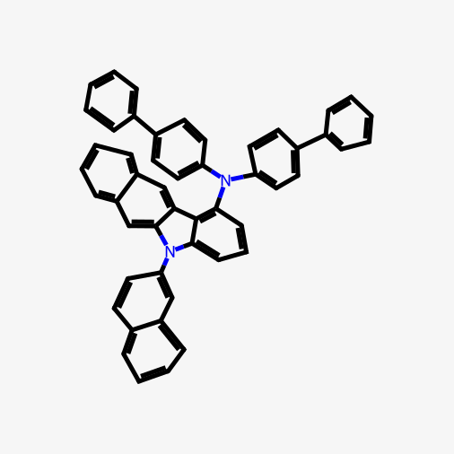 c1ccc(-c2ccc(N(c3ccc(-c4ccccc4)cc3)c3cccc4c3c3cc5ccccc5cc3n4-c3ccc4ccccc4c3)cc2)cc1